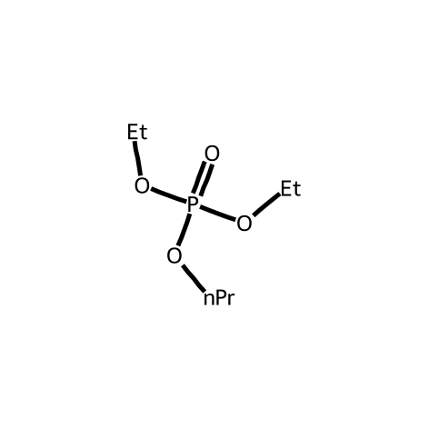 [CH2]CCOP(=O)(OCC)OCC